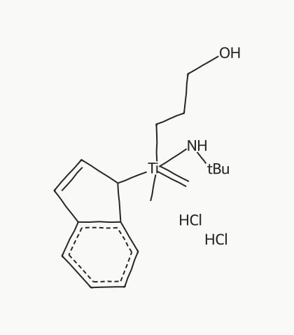 Cl.Cl.[CH2]=[Ti]([CH3])([CH2]CCO)([NH]C(C)(C)C)[CH]1C=Cc2ccccc21